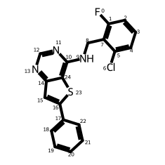 Fc1cccc(Cl)c1CNc1ncnc2cc(-c3ccccc3)sc12